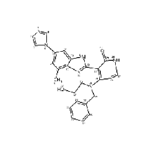 Cc1cc(-n2ccnc2)cc2[nH]c(-c3c(N(CCO)Cc4ccccc4)cc[nH]c3=O)nc12